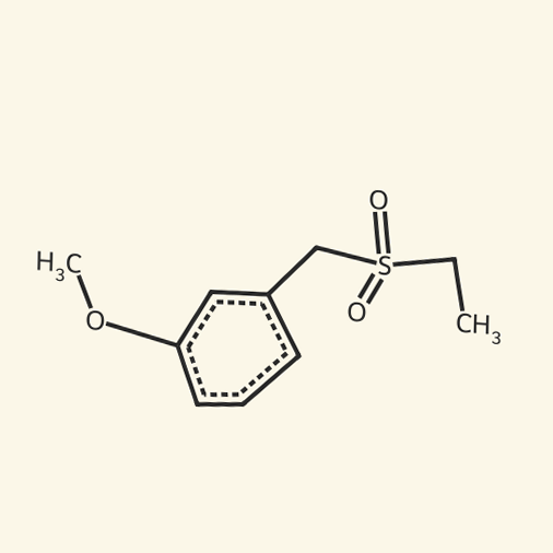 CCS(=O)(=O)Cc1cccc(OC)c1